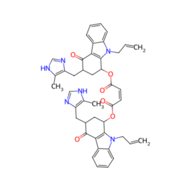 C=CCn1c2c(c3ccccc31)C(=O)C(Cc1nc[nH]c1C)CC2OC(=O)/C=C\C(=O)OC1CC(Cc2nc[nH]c2C)C(=O)c2c1n(CC=C)c1ccccc21